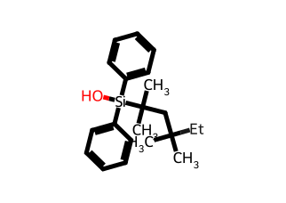 CCC(C)(C)CC(C)(C)[Si](O)(c1ccccc1)c1ccccc1